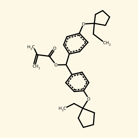 C=C(C)C(=O)OC(c1ccc(OC2(CC)CCCC2)cc1)c1ccc(OC2(CC)CCCC2)cc1